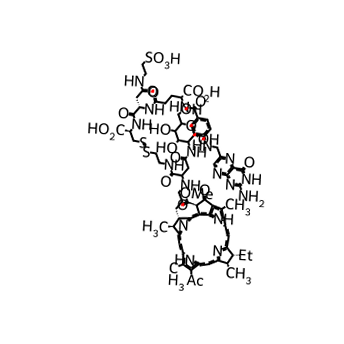 CC[C@H]1c2cc3[nH]c4c(c3C)C(=O)[C@H](C(=O)OC)c4c3nc(cc4[nH]c(cc(n2)[C@@H]1C)c(C(C)=O)c4C)[C@@H](C)[C@@H]3CCCNC(CC(=O)NC1C(O)OC(CO)C(O)C1O)C(=O)NCCSSC[C@H](NC(=O)[C@H](CC(=O)NCCS(=O)(=O)O)NC(=O)CC[C@H](NC(=O)c1ccc(NCc2cnc3nc(N)[nH]c(=O)c3n2)cc1)C(=O)O)C(=O)O